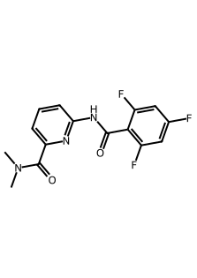 CN(C)C(=O)c1cccc(NC(=O)c2c(F)cc(F)cc2F)n1